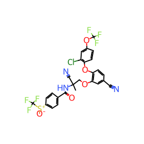 CC(C#N)(COc1cc(C#N)ccc1Oc1ccc(OC(F)(F)F)cc1Cl)NC(=O)c1ccc([S+]([O-])C(F)(F)F)cc1